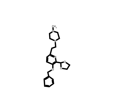 CN1CCN(CCc2ccc(OCc3ccccc3)c(C3OCCO3)n2)CC1